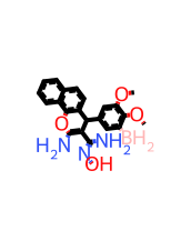 Bc1cc(C2C(/C(N)=N/O)=C(N)Oc3c2ccc2ccccc32)cc(OC)c1OC